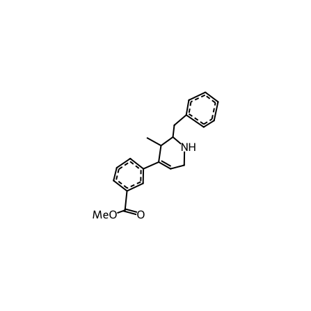 COC(=O)c1cccc(C2=CCNC(Cc3ccccc3)C2C)c1